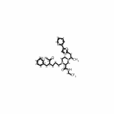 CC(Cc1ncc(-c2ccccn2)o1)N1CCN(CCCC(Cc2ccccc2)C(N)=O)C(C(=O)NCC(F)(F)F)C1